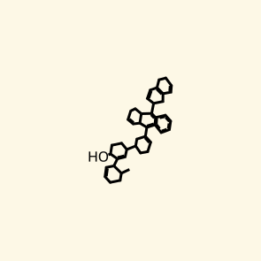 CC1CCC=CC1C1=CC(C2CCC=C(C3=c4ccccc4=C(C4C=CC5=C(C=CCC5)C4)C4CCC=CC34)C2)CCC1O